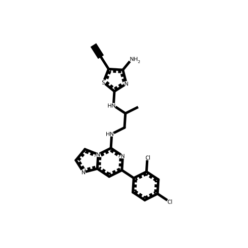 C#Cc1sc(NC(C)CNc2nc(-c3ccc(Cl)cc3Cl)cc3nccn23)nc1N